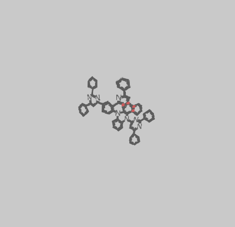 c1ccc(-c2cc(-c3ccc(N4c5ccccc5N(c5cc(-c6ccccc6)nc(-c6ccccc6)n5)c5ccccc54)c(-c4nc(-c5ccccc5)cc(-c5ccccc5)n4)c3)nc(-c3ccccc3)n2)cc1